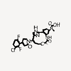 C[C@@H]1CCC[C@@H](N2CCC(c3c(F)ccc(Cl)c3F)=CC2=O)c2c[nH]c(n2)-c2ccc(N(C)C(=O)O)cc2NC1=O